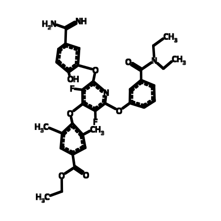 CCOC(=O)c1cc(C)c(Oc2c(F)c(Oc3cccc(C(=O)N(CC)CC)c3)nc(Oc3cc(C(=N)N)ccc3O)c2F)c(C)c1